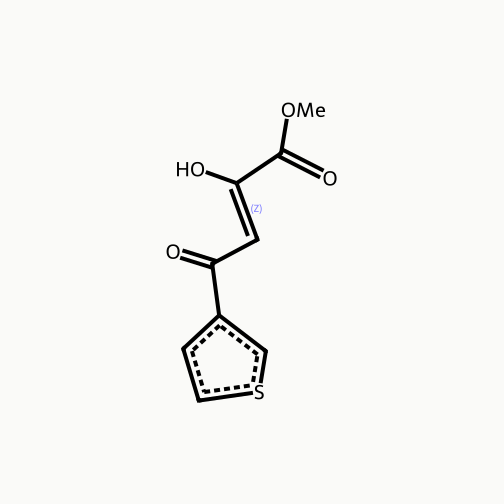 COC(=O)/C(O)=C/C(=O)c1ccsc1